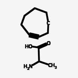 C1#CCCCCCC1.CC(N)C(=O)O